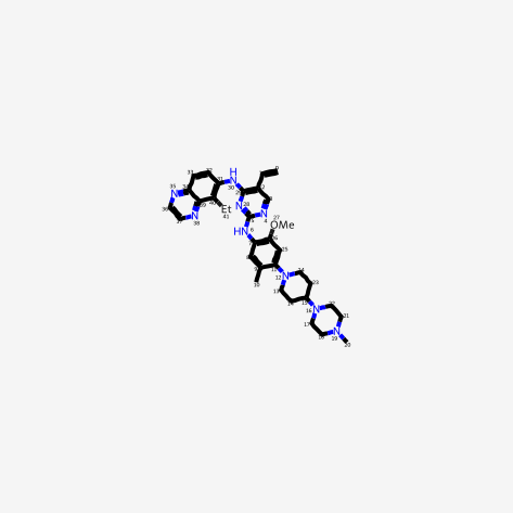 C=Cc1cnc(Nc2cc(C)c(N3CCC(N4CCN(C)CC4)CC3)cc2OC)nc1Nc1ccc2nccnc2c1CC